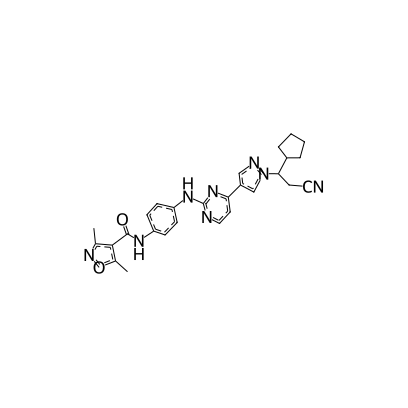 Cc1noc(C)c1C(=O)Nc1ccc(Nc2nccc(-c3cnn(C(CC#N)C4CCCC4)c3)n2)cc1